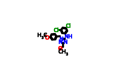 COCc1nc(Nc2cc(Cl)cc(Cl)c2)n(Cc2ccc(OC)cc2)n1